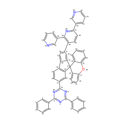 c1ccc(-c2nc(-c3ccccc3)nc(-c3ccc4c(c3)C3(c5ccccc5Oc5ccccc53)c3cc(-c5ccc(-c6cccnc6)nc5-c5cccnc5)ccc3-4)n2)cc1